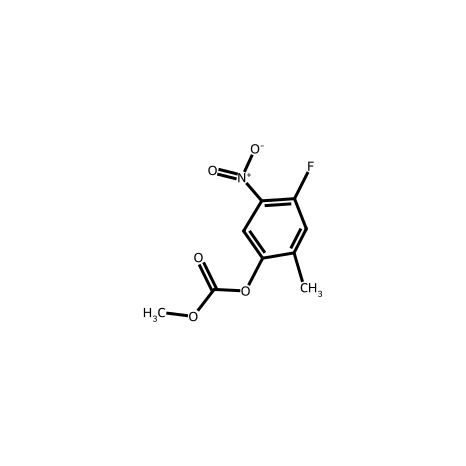 COC(=O)Oc1cc([N+](=O)[O-])c(F)cc1C